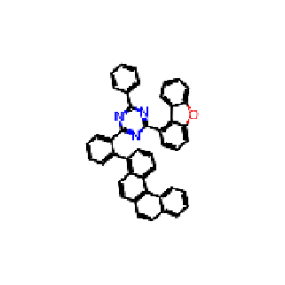 c1ccc(-c2nc(-c3ccccc3-c3cccc4c3ccc3ccc5ccccc5c34)nc(-c3cccc4oc5ccccc5c34)n2)cc1